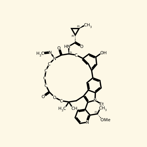 C=NN1CCCCC(=O)OCC(C)(C)Cc2c(-c3cccnc3[C@H](C)OC)n(CC)c3ccc(cc23)-c2cc(O)cc(c2)C[C@H](NC(=O)[C@@H]2C[C@H]2C)C1=O